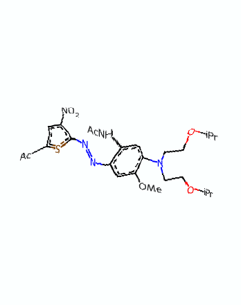 COc1cc(N=Nc2sc(C(C)=O)cc2[N+](=O)[O-])c(NC(C)=O)cc1N(CCOC(C)C)CCOC(C)C